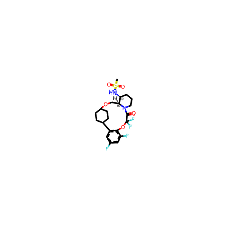 CS(=O)(=O)N[C@H]1CCCN2C(=O)C(F)(F)Oc3c(F)cc(F)cc3C3CCC(CC3)OC[C@@H]12